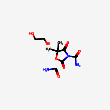 CC1(C)OC(=O)N(C(N)=O)C1=O.NC=O.OCCO